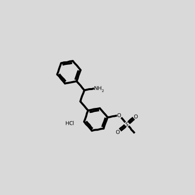 CS(=O)(=O)Oc1cccc(CC(N)c2ccccc2)c1.Cl